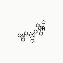 c1ccc(-c2nc(-c3ccc(-c4c(-c5ccccc5)n5ncc(-c6ccccc6)c5c5ccccc45)cc3)nc(-c3cccc(-n4c5ccccc5c5ccccc54)c3)n2)cc1